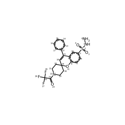 NNS(=O)(=O)c1ccc2c(c1)C(c1ccccc1)=CC1(CCN(C(=O)C(F)(F)F)CC1)O2